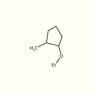 CCOC1CCCC1C